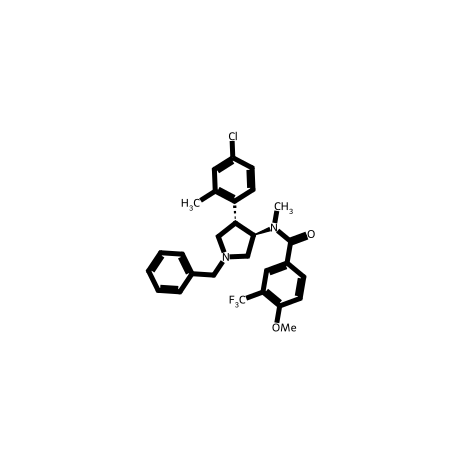 COc1ccc(C(=O)N(C)[C@H]2CN(Cc3ccccc3)C[C@@H]2c2ccc(Cl)cc2C)cc1C(F)(F)F